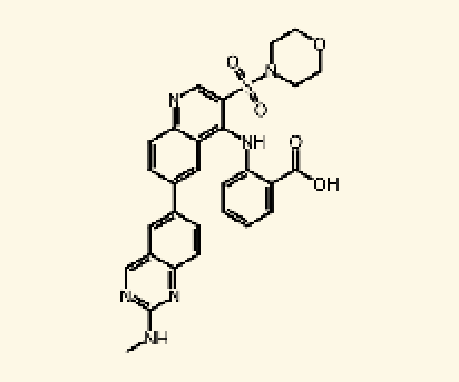 CNc1ncc2cc(-c3ccc4ncc(S(=O)(=O)N5CCOCC5)c(Nc5ccccc5C(=O)O)c4c3)ccc2n1